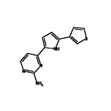 Nc1nccc(-c2ccc(-c3ccsc3)[nH]2)n1